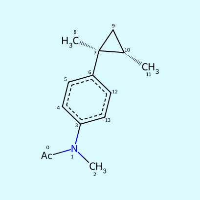 CC(=O)N(C)c1ccc([C@@]2(C)C[C@@H]2C)cc1